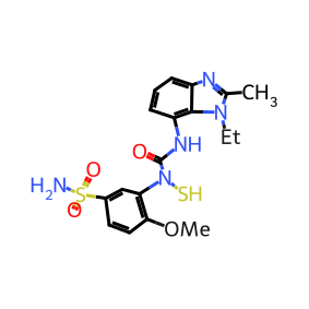 CCn1c(C)nc2cccc(NC(=O)N(S)c3cc(S(N)(=O)=O)ccc3OC)c21